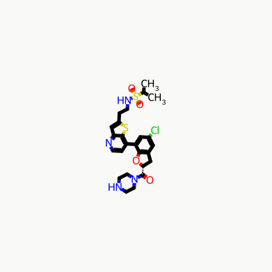 CC(C)S(=O)(=O)NCCc1cc2nccc(-c3cc(Cl)cc4c3O[C@@H](C(=O)N3CCNCC3)C4)c2s1